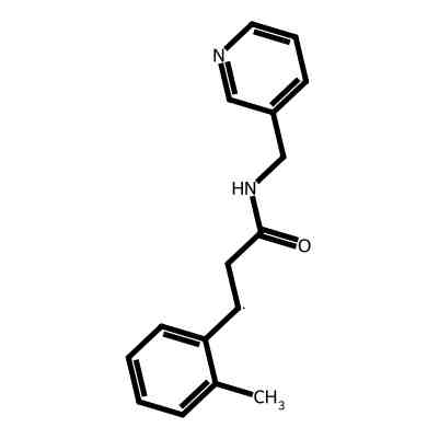 Cc1ccccc1[CH]CC(=O)NCc1cccnc1